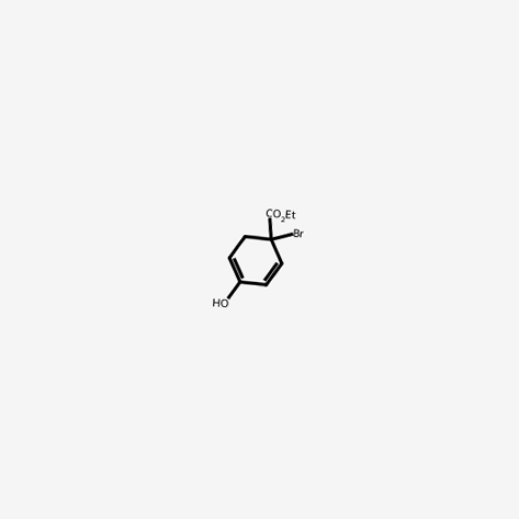 CCOC(=O)C1(Br)C=CC(O)=CC1